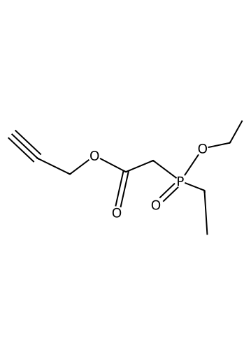 C#CCOC(=O)CP(=O)(CC)OCC